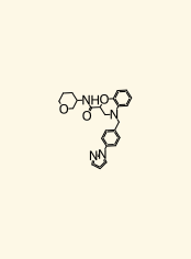 O=C(NC1CCCOC1)C1CN(Cc2ccc(-n3cccn3)cc2)c2ccccc2O1